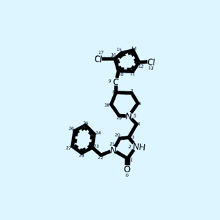 O=C1NC(CN2CCC(Cc3cc(Cl)ccc3Cl)CC2)CN1Cc1ccccc1